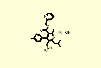 Cc1ccc(-c2c(CN)c(CC(C)C)nc(C)c2C(=O)OCc2ccccn2)cc1.Cl.Cl.Cl